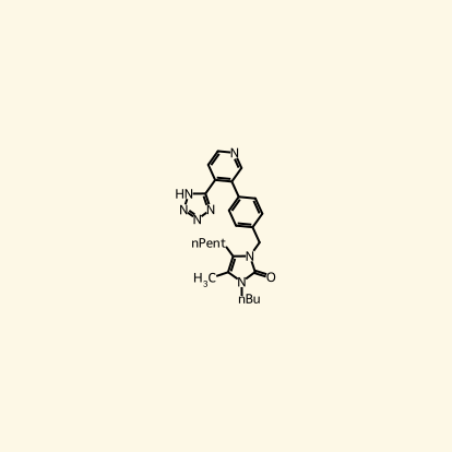 CCCCCc1c(C)n(CCCC)c(=O)n1Cc1ccc(-c2cnccc2-c2nnn[nH]2)cc1